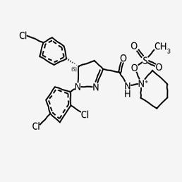 CS(=O)(=O)O[N+]1(NC(=O)C2=NN(c3ccc(Cl)cc3Cl)[C@H](c3ccc(Cl)cc3)C2)CCCCC1